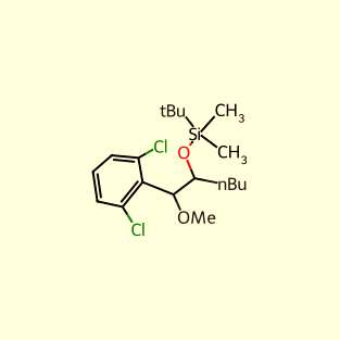 CCCCC(O[Si](C)(C)C(C)(C)C)C(OC)c1c(Cl)cccc1Cl